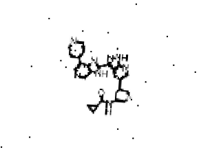 O=C(NC1=CN=CC(c2cnc3[nH]nc(-c4nc5c(-c6ccncc6)cncc5[nH]4)c3c2)C1)C1CC1